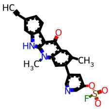 C#Cc1ccc2c(c1)[nH]c1c2c(=O)c2cc(C)c(-c3cncc(OS(=O)(=O)F)c3)cc2n1C